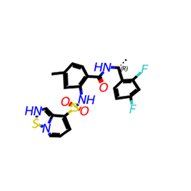 Cc1ccc(C(=O)N[C@H](C)c2ccc(F)cc2F)c(NS(=O)(=O)C2=CC=CN3SNC=C23)c1